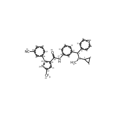 CN(C1CC1)C(c1ccncc1)c1cccc(NC(=O)c2cc(C(F)(F)F)nn2-c2cccc(C#N)c2)c1